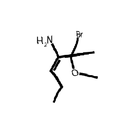 CC/C=C(/N)C(C)(Br)OC